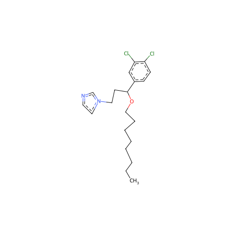 CCCCCCCCOC(CCn1ccnc1)c1ccc(Cl)c(Cl)c1